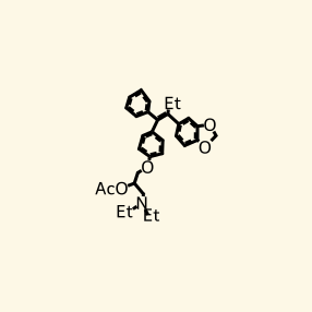 CCC(=C(c1ccccc1)c1ccc(OCC(CN(CC)CC)OC(C)=O)cc1)c1ccc2c(c1)OCO2